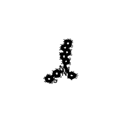 c1ccc(-c2nc(-c3ccc4c(ccc5c4ccc4c6ccccc6ccc45)c3)nc(-c3ccc4c(c3)sc3ccccc34)n2)cc1